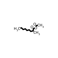 CCCCCCCC(C)C(=O)OC(C)=O